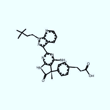 CC(C)(C)CCn1nc(-c2nc(N)c3c(n2)NC(=O)[C@@]3(C)c2ccc(CCC(=O)O)cc2)c2cccnc21